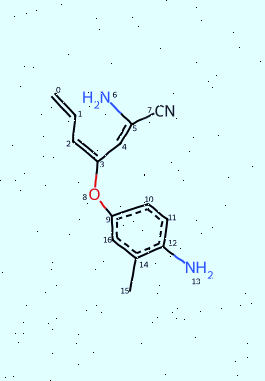 C=C/C=C(\C=C(/N)C#N)Oc1ccc(N)c(C)c1